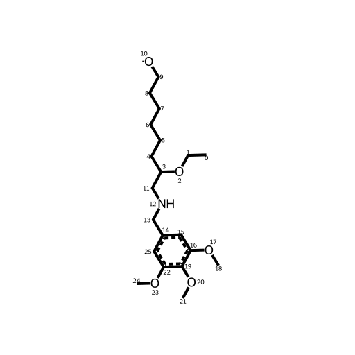 CCOC(CCCCCC[O])CNCc1cc(OC)c(OC)c(OC)c1